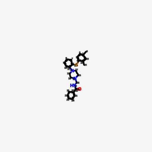 Cc1ccc(Sc2ccccc2N2CCN(CNC(=O)c3ccccc3)CC2)c(C)c1